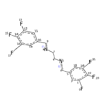 Fc1cc(/C=N/CC/N=C/c2cc(F)c(F)c(F)c2)cc(F)c1F